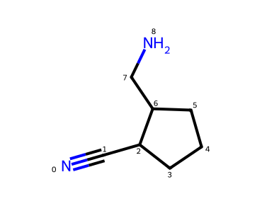 N#CC1CCCC1CN